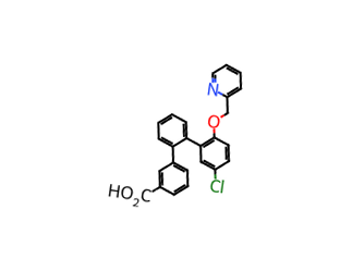 O=C(O)c1cccc(-c2ccccc2-c2cc(Cl)ccc2OCc2ccccn2)c1